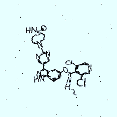 N=S1(=O)CCN(c2ncc(-c3n[nH]c4ccc(O[C@H](N)c5c(Cl)cncc5Cl)cc34)cn2)CC1